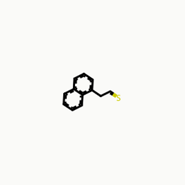 S=CCc1cccc2ccccc12